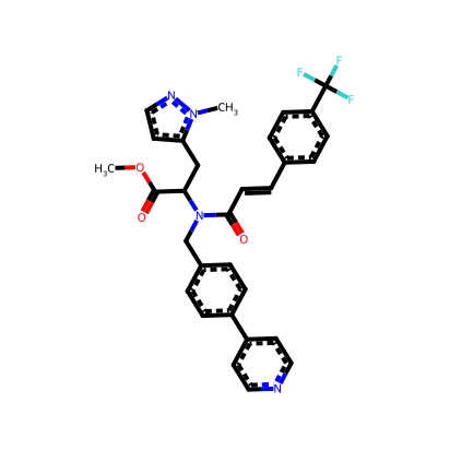 COC(=O)C(Cc1ccnn1C)N(Cc1ccc(-c2ccncc2)cc1)C(=O)/C=C/c1ccc(C(F)(F)F)cc1